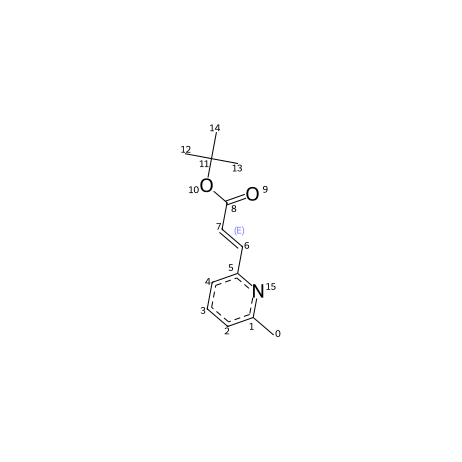 Cc1cccc(/C=C/C(=O)OC(C)(C)C)n1